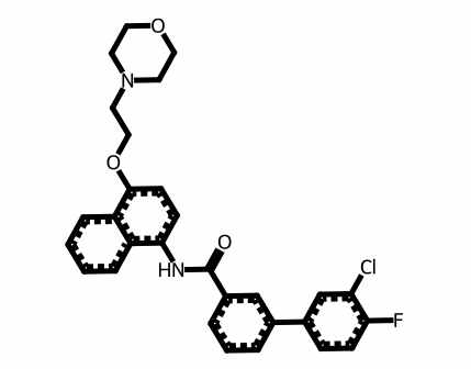 O=C(Nc1ccc(OCCN2CCOCC2)c2ccccc12)c1cccc(-c2ccc(F)c(Cl)c2)c1